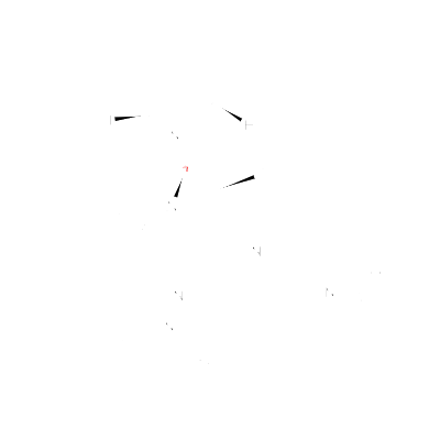 CC(C)n1nc(C(=O)N[C@@H]2C[C@H]3CC[C@@H](C2)N3C[C@@H](O)CN2CCN(S(C)(=O)=O)CC2)c2ccccc21